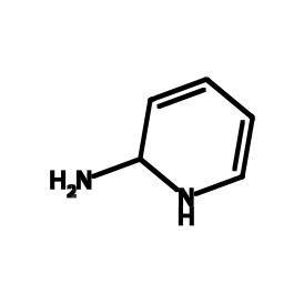 NC1C=CC=CN1